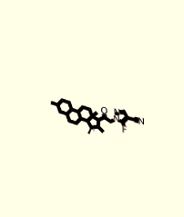 CC1CCC2C(CCC3C2CCC2(C)C(C(=O)Cn4ncc(C#N)c4F)C(C)[C@@H](C)C32)C1